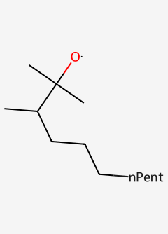 CCCCCCCCC(C)C(C)(C)[O]